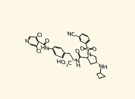 N#Cc1cccc(S(=O)(=O)N2C[C@H](NC3CCC3)CC2C(=O)N[C@@H](Cc2ccc(NC(=O)c3c(Cl)cncc3Cl)cc2)C(=O)O)c1